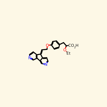 CCOC(Cc1ccc(OCC=C2c3ccncc3-c3cnccc32)cc1)C(=O)O